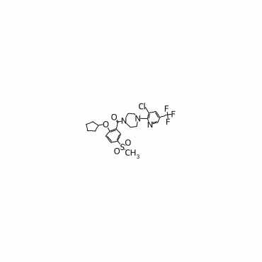 CS(=O)(=O)c1ccc(OC2CCCC2)c(C(=O)N2CCN(c3ncc(C(F)(F)F)cc3Cl)CC2)c1